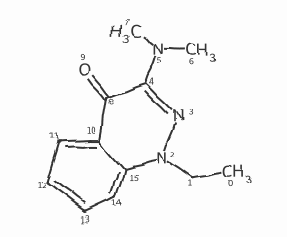 CCn1nc(N(C)C)c(=O)c2ccccc21